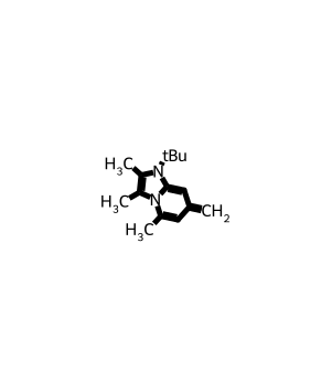 C=C1C=C(C)N2C(=C1)N(C(C)(C)C)C(C)=C2C